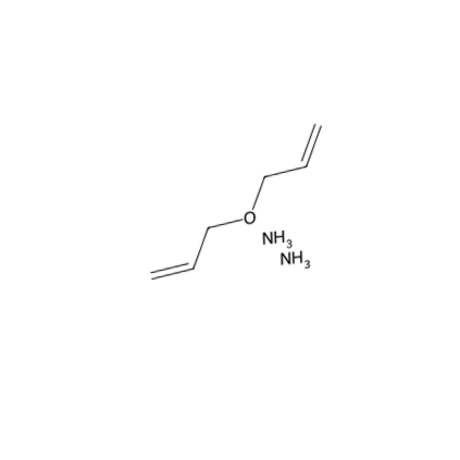 C=CCOCC=C.N.N